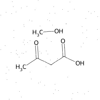 CC(=O)CC(=O)O.CO